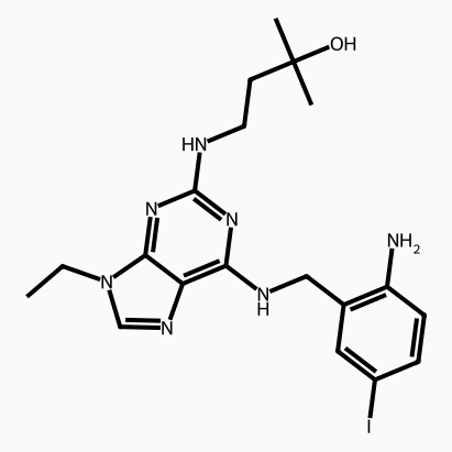 CCn1cnc2c(NCc3cc(I)ccc3N)nc(NCCC(C)(C)O)nc21